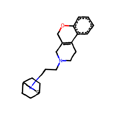 c1ccc2c(c1)OCC1=C2CCN(CCN2CC3CCC(CC3)C2)C1